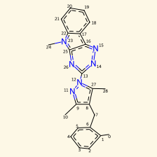 Cc1ccccc1Cc1c(C)nn(-c2nnc3c4ccccc4n(C)c3n2)c1C